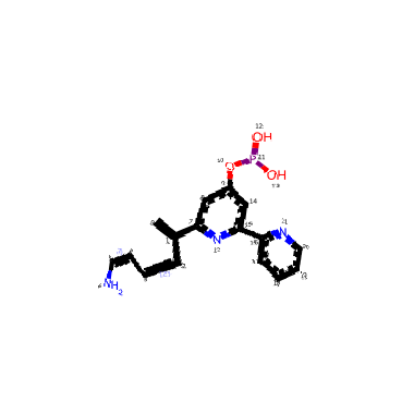 C=C(/C=C\C=C/N)c1cc(OP(O)O)cc(-c2ccccn2)n1